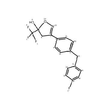 OC1(C(F)(F)F)CC(c2ccc(Cc3ccc(F)cc3)cc2)=NO1